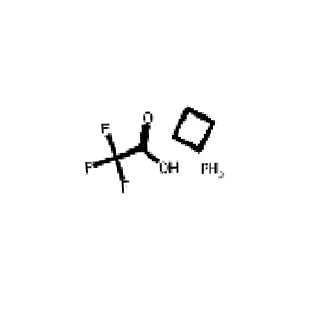 C1CCC1.O=C(O)C(F)(F)F.P